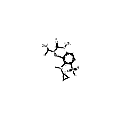 CC(C=O)N(Nc1cccc(S(C)(=O)=O)c1N(C)C1CC1)C(=O)OC(C)(C)C